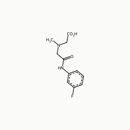 CN(CC(=O)O)CC(=O)Nc1cccc(F)c1